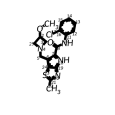 COC1CN(Cc2c(C(=O)Nc3ccccc3Cl)[nH]c3nc(C)sc23)C1